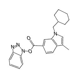 Cc1cn(CC2CCCCC2)c2cc(C(=O)On3nnc4ccccc43)ccc12